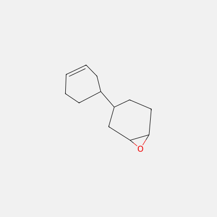 C1=CCC(C2CCC3OC3C2)CC1